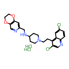 Cl.Cl.Clc1ccc2ncc(Cl)c(CCN3CCC(NCc4cc5c(cn4)OCCO5)CC3)c2c1